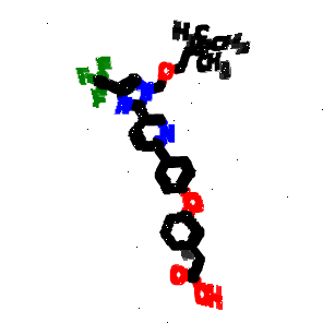 C[Si](C)(C)CCOCn1cc(C(F)(F)F)nc1-c1ccc(-c2ccc(OC3CCC[C@H](CC(=O)O)C3)cc2)nc1